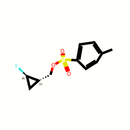 Cc1ccc(S(=O)(=O)OC[C@@H]2C[C@H]2F)cc1